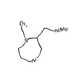 CNCC1C[N]CCN1C